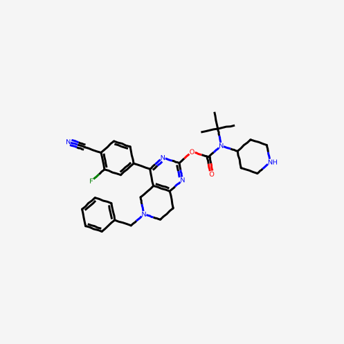 CC(C)(C)N(C(=O)Oc1nc2c(c(-c3ccc(C#N)c(F)c3)n1)CN(Cc1ccccc1)CC2)C1CCNCC1